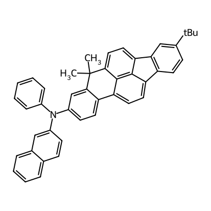 CC(C)(C)c1ccc2c(c1)-c1ccc3c4c(ccc-2c14)-c1ccc(N(c2ccccc2)c2ccc4ccccc4c2)cc1C3(C)C